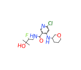 CC(C)(O)C(F)CNC(=O)c1cnc(Cl)cc1NC1CCCOC1